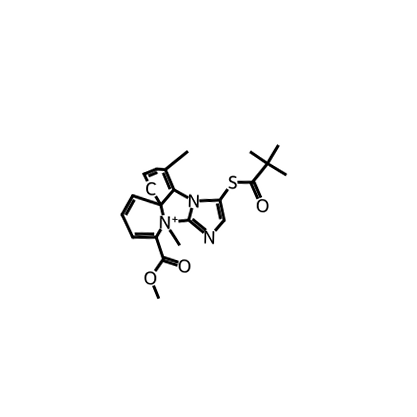 COC(=O)C1=CC=CC23CC=CC(C)=C2n2c(SC(=O)C(C)(C)C)cnc2[N+]13C